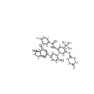 Cc1ccc(C(=O)Nc2ccc(CN3CCN(C)CC3)c(C(F)(F)F)c2)cc1Oc1nc(-c2ccc(Cl)cc2)nc2cc[nH]c12